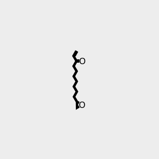 C=CC(=O)CCCCCCCC1CO1